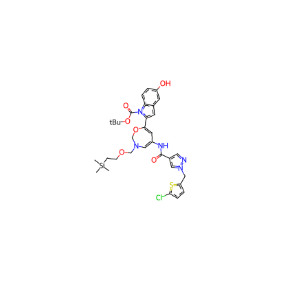 CC(C)(C)OC(=O)n1c(C2=CC(NC(=O)c3cnn(Cc4ccc(Cl)s4)c3)=CN(COCC[Si](C)(C)C)CO2)cc2cc(O)ccc21